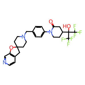 O=C1CC(C(O)(C(F)(F)F)C(F)(F)F)CCN1c1ccc(CN2CCC3(CC2)Cc2ccncc2O3)cc1